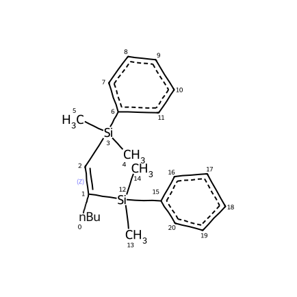 CCCC/C(=C/[Si](C)(C)c1ccccc1)[Si](C)(C)c1ccccc1